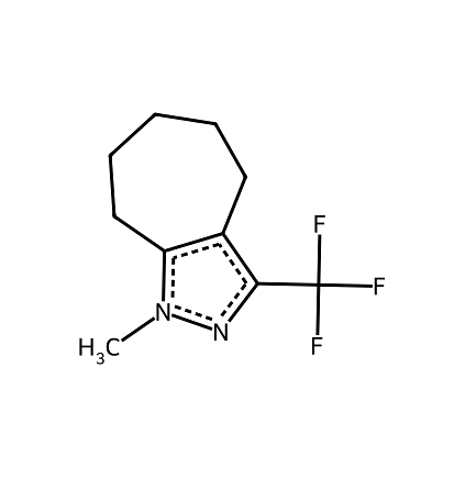 Cn1nc(C(F)(F)F)c2c1CCCCC2